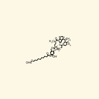 CC1CCN(C(=O)CC#N)CC1N(C)c1ncnc2c1ccn2C(=O)N(C)CCN(C)C(=O)OCc1ccc(O)c(NC(=O)CCCCCCCCCOC=O)c1